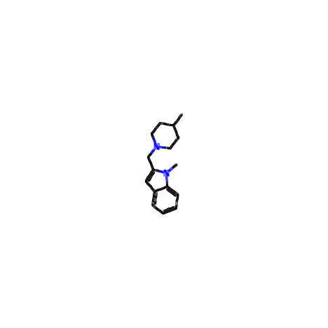 CC1CCN(Cc2cc3ccccc3n2C)CC1